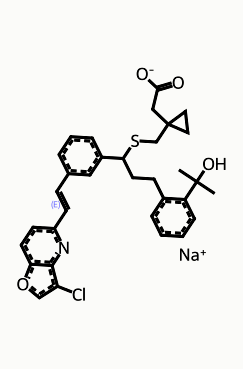 CC(C)(O)c1ccccc1CCC(SCC1(CC(=O)[O-])CC1)c1cccc(/C=C/c2ccc3occ(Cl)c3n2)c1.[Na+]